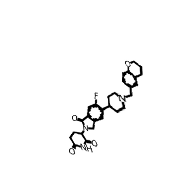 O=C1CCC(N2Cc3cc(C4CCN(Cc5ccc6c(c5)CCCO6)CC4)c(F)cc3C2=O)C(=O)N1